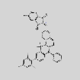 Cc1cc(C)c(-c2ccc3c(c2)C(C)(C)c2c(ccc4cc(/C=C5/C(=O)c6ccc(C)cc6C5=O)ccc24)N3c2ccccc2)c(C)c1